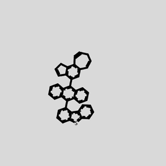 C1#Cc2c(cc(-c3c4ccccc4c(-c4cccc5sc6ccccc6c45)c4ccccc34)c3c2CC=C3)C=CC1